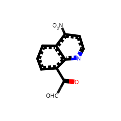 O=CC(=O)c1cccc2c([N+](=O)[O-])ccnc12